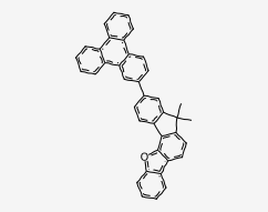 CC1(C)c2cc(-c3ccc4c5ccccc5c5ccccc5c4c3)ccc2-c2c1ccc1c2oc2ccccc21